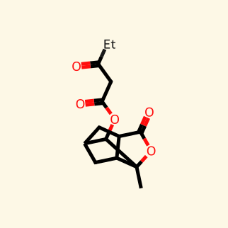 CCC(=O)CC(=O)OC1C2CC3C(=O)OC1(C)C3C2